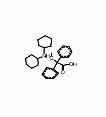 C1CCC(NC2CCCCC2)CC1.COC(C(=O)O)(c1ccccc1)c1ccccc1